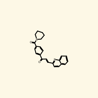 O=C(C=Cc1ccc2ccccc2n1)c1ccc(C(=O)N2CCCCC2)cc1